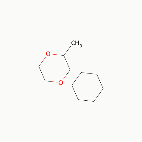 C1CCCCC1.CC1COCCO1